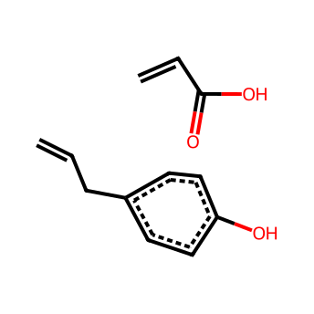 C=CC(=O)O.C=CCc1ccc(O)cc1